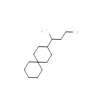 NCCC(N)C1CCC2(CCCCC2)CC1